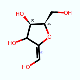 O/C=C1/O[C@H](CO)[C@H](O)C1O